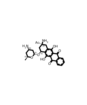 CC(=O)[C@]1(N)Cc2c(O)c3c(c(O)c2[C@@H](O[C@H]2C[C@H](N)C[C@H](C)O2)C1)C(=O)c1ccccc1C3=O